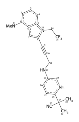 CNc1cccc2c1cc(C#CCNc1ccc(C(C)(C)C#N)nc1)n2CC(F)(F)F